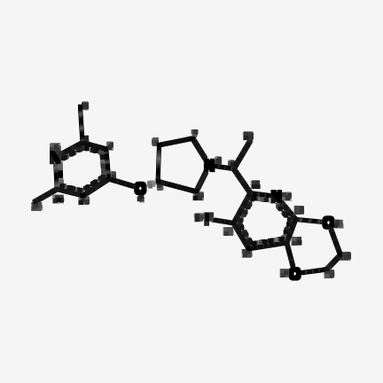 Cc1cc(O[C@@H]2CCN(C(C)c3nc4c(cc3F)OCCO4)C2)cc(C)n1